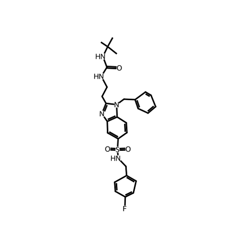 CC(C)(C)NC(=O)NCCc1nc2cc(S(=O)(=O)NCc3ccc(F)cc3)ccc2n1Cc1ccccc1